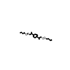 CCCCOOCC(C)c1ccc(C(C)COOCCCC)cc1